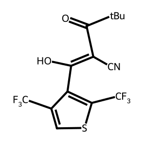 CC(C)(C)C(=O)C(C#N)=C(O)c1c(C(F)(F)F)csc1C(F)(F)F